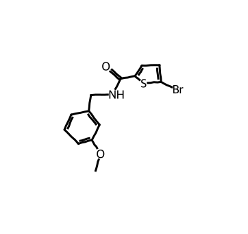 COc1cccc(CNC(=O)c2ccc(Br)s2)c1